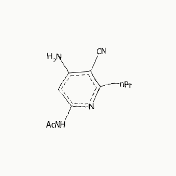 CCCc1nc(NC(C)=O)cc(N)c1C#N